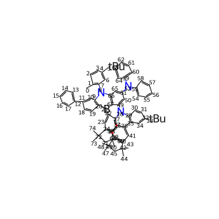 Cc1ccc(C(C)(C)C)cc1N1c2cc(-c3ccccc3)ccc2B2c3cc4c(cc3N(c3ccc(C(C)(C)C)cc3-c3ccc5c(c3)C(C)(C)CC5(C)C)c3cc(N(c5ccccc5)c5ccccc5)cc1c32)C(C)(C)CC4(C)C